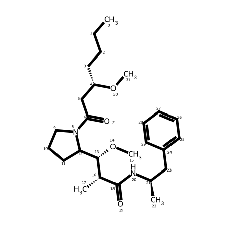 CCCC[C@@H](CC(=O)N1CCCC1[C@H](OC)[C@@H](C)C(=O)N[C@H](C)Cc1ccccc1)OC